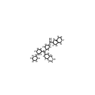 C1=Cc2ccc(N(c3ccc(Nc4ccc5ccccc5c4)cc3)c3cccc(-c4ccccc4)c3)cc2CC1